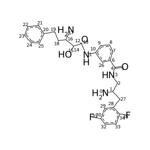 NC(CNC(=O)c1cccc(NC(=O)C(O)C(N)CCc2ccccc2)c1)Cc1cc(F)ccc1F